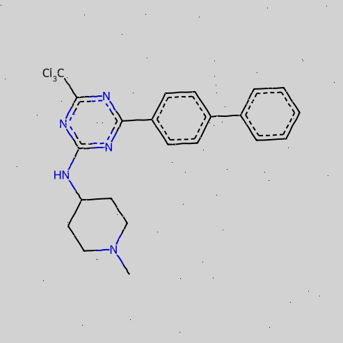 CN1CCC(Nc2nc(-c3ccc(-c4ccccc4)cc3)nc(C(Cl)(Cl)Cl)n2)CC1